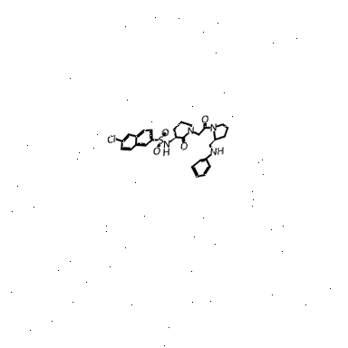 O=C1[C@@H](NS(=O)(=O)c2ccc3cc(Cl)ccc3c2)CCCN1CC(=O)N1CCC[C@H]1CNc1ccccc1